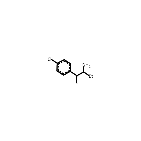 [CH2]C(c1ccc(Cl)cc1)C(N)CC